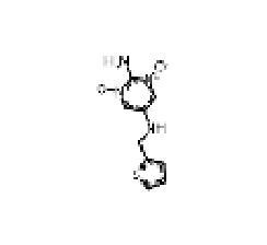 Nc1[n+]([O-])cc(NCc2cccs2)c[n+]1[O-]